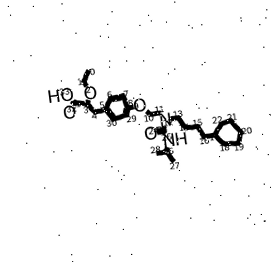 CCOC(Cc1ccc(OCCN(CCCCC2CCCCC2)C(=O)NC(C)C)cc1)C(=O)O